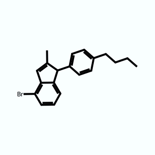 CCCCc1ccc(C2C(C)=Cc3c(Br)cccc32)cc1